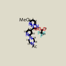 COc1ccc2ncc(-c3ccnc(N4CCN(C(C)=O)CC4)c3)n2n1.O=C(O)C(F)(F)F